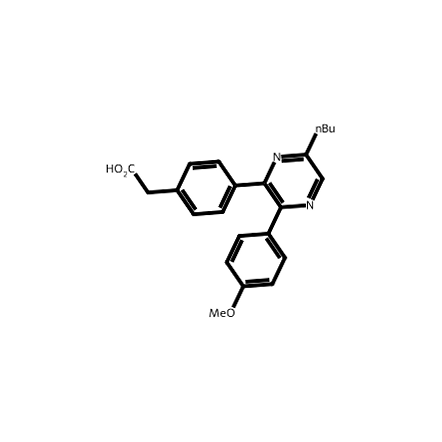 CCCCc1cnc(-c2ccc(OC)cc2)c(-c2ccc(CC(=O)O)cc2)n1